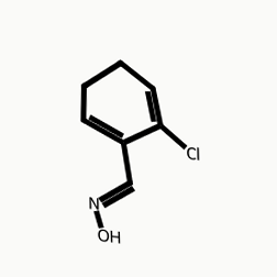 ON=CC1=CCCC=C1Cl